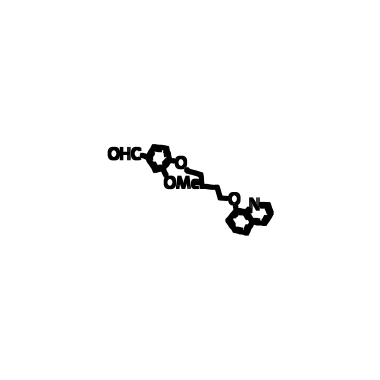 COc1cc(C=O)ccc1OCCCCCOc1cccc2cccnc12